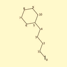 I[CH]CCCC1CCCCC1